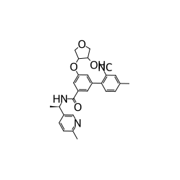 Cc1ccc(-c2cc(OC3COCC3O)cc(C(=O)N[C@H](C)c3ccc(C)nc3)c2)c(C#N)c1